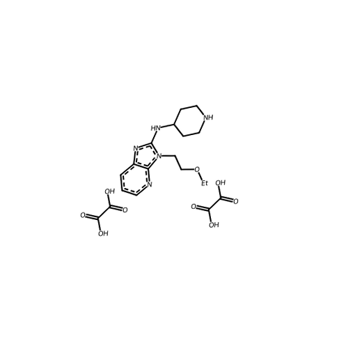 CCOCCn1c(NC2CCNCC2)nc2cccnc21.O=C(O)C(=O)O.O=C(O)C(=O)O